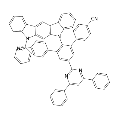 N#Cc1ccc(-c2cc(-c3nc(-c4ccccc4)cc(-c4ccccc4)n3)cc(-c3ccc(C#N)cc3)c2-n2c3ccccc3c3cc4c5ccccc5n(-c5ccccc5)c4cc32)cc1